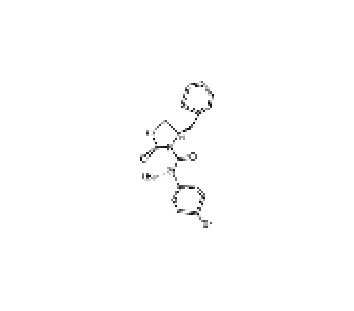 CC(C)(C)[C@H](C(=O)N1C(=O)OC[C@H]1Cc1ccccc1)c1ccc(Br)cc1